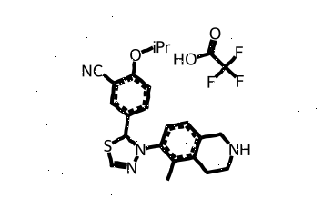 Cc1c(N2N=CSC2c2ccc(OC(C)C)c(C#N)c2)ccc2c1CCNC2.O=C(O)C(F)(F)F